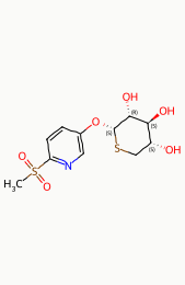 CS(=O)(=O)c1ccc(O[C@H]2SC[C@@H](O)[C@H](O)[C@H]2O)cn1